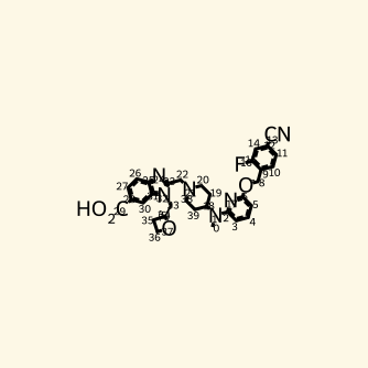 CN(c1cccc(OCc2ccc(C#N)cc2F)n1)C1CCN(Cc2nc3ccc(C(=O)O)cc3n2C[C@@H]2CCO2)CC1